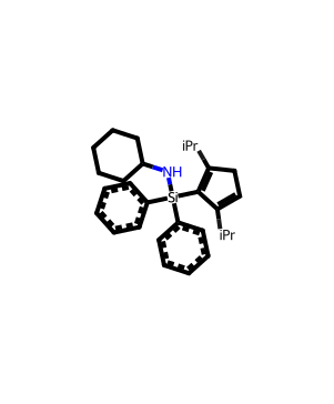 CC(C)C1=CCC(C(C)C)=C1[Si](NC1CCCCC1)(c1ccccc1)c1ccccc1